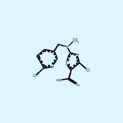 CN(Cc1ccc(Cl)nc1)c1nc(Cl)c(C(=O)O)s1